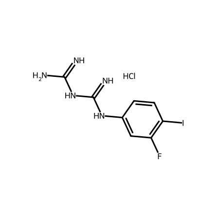 Cl.N=C(N)NC(=N)Nc1ccc(I)c(F)c1